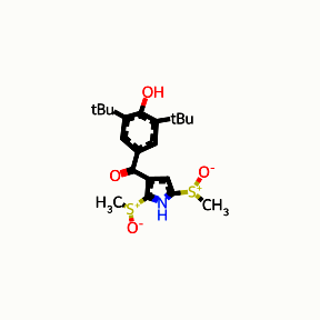 C[S+]([O-])c1cc(C(=O)c2cc(C(C)(C)C)c(O)c(C(C)(C)C)c2)c([S+](C)[O-])[nH]1